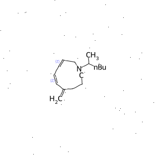 C=C1/C=C\C=C/CN(C(C)CCCC)CCC1